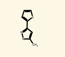 CC1=CC(c2cccs2)=N[N]1